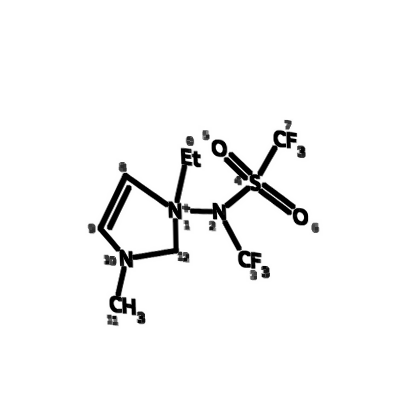 CC[N+]1(N(C(F)(F)F)S(=O)(=O)C(F)(F)F)C=CN(C)C1